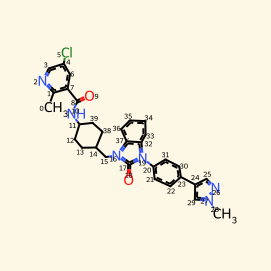 Cc1ncc(Cl)cc1C(=O)NC1CCC(Cn2c(=O)n(-c3ccc(-c4cnn(C)c4)cc3)c3ccccc32)CC1